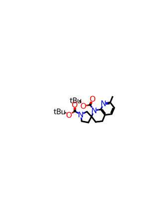 Cc1ccc2c(n1)N(C(=O)OC(C)(C)C)C1(CC2)CCN(C(=O)OC(C)(C)C)C1